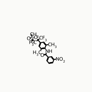 Cc1cc(C(OS(C)(=O)=O)(C(F)(F)F)C(F)(F)F)cc(C)c1NC(=O)c1cccc([N+](=O)[O-])c1